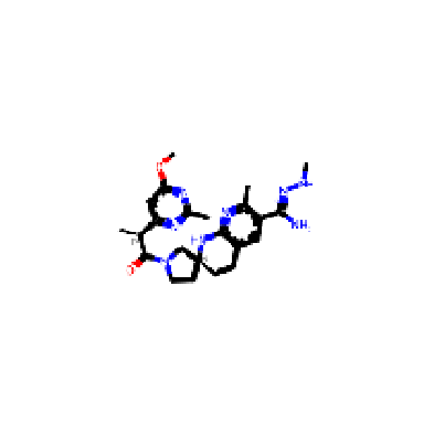 CN/N=C(\N)c1cc2c(nc1C)N[C@]1(CC2)CCN(C(=O)[C@@H](C)c2cc(OC)nc(C)n2)C1